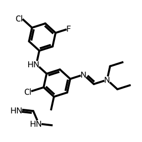 CCN(C=Nc1cc(C)c(Cl)c(Nc2cc(F)cc(Cl)c2)c1)CC.CNC=N